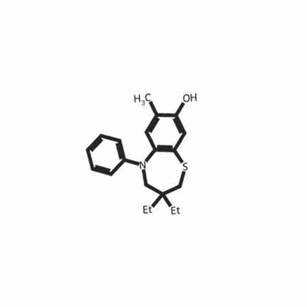 CCC1(CC)CSc2cc(O)c(C)cc2N(c2ccccc2)C1